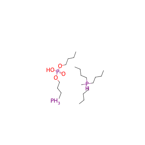 CCCCOP(=O)(O)OCCCC.CCCC[PH](C)(CCCC)CCCC.P